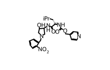 CC(C)C[C@H](NC(=O)OCc1ccncc1)C(=O)NC1CN(Cc2ccccc2[N+](=O)[O-])CC1O